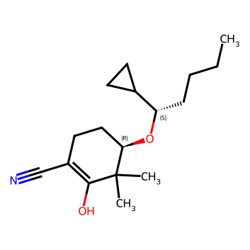 CCCC[C@H](O[C@@H]1CCC(C#N)=C(O)C1(C)C)C1CC1